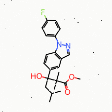 COC(=O)C(C)(C)C(O)(CC(C)C)c1ccc2c(cnn2-c2ccc(F)cc2)c1